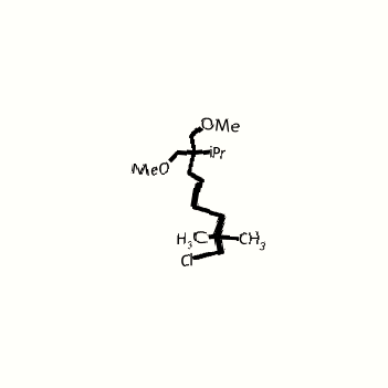 COCC(CC=CCC(C)(C)CCl)(COC)C(C)C